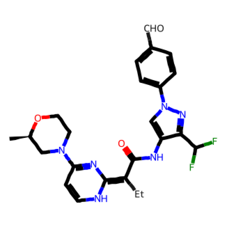 CC/C(C(=O)Nc1cn(-c2ccc(C=O)cc2)nc1C(F)F)=C1/N=C(N2CCO[C@H](C)C2)C=CN1